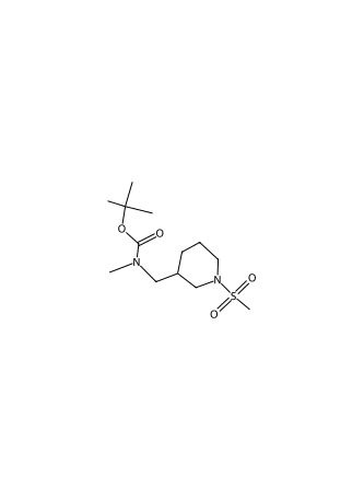 CN(CC1CCCN(S(C)(=O)=O)C1)C(=O)OC(C)(C)C